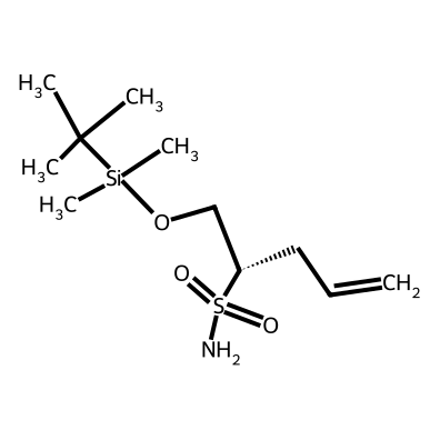 C=CC[C@@H](CO[Si](C)(C)C(C)(C)C)S(N)(=O)=O